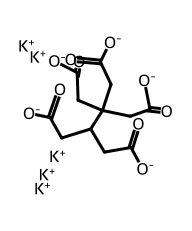 O=C([O-])CC(CC(=O)[O-])C(CC(=O)[O-])(CC(=O)[O-])CC(=O)[O-].[K+].[K+].[K+].[K+].[K+]